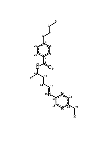 CCCCc1ccc(C(=O)OC(C)CCC=Nc2ccc(CC)cc2)cc1